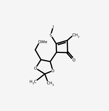 COCC1OC(C)(C)OC1C1C(=O)C(C)=C1SI